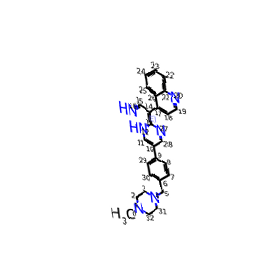 CN1CCN(Cc2ccc(C3=CN/C(=C(\C=N)c4ccnc5ccccc45)N=C3)cc2)CC1